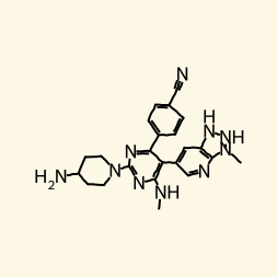 CNc1nc(N2CCC(N)CC2)nc(-c2ccc(C#N)cc2)c1-c1cnc2c(c1)NNN2C